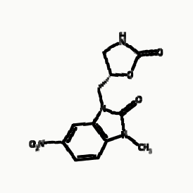 Cn1c(=O)n(C[C@@H]2CNC(=O)O2)c2cc([N+](=O)[O-])ccc21